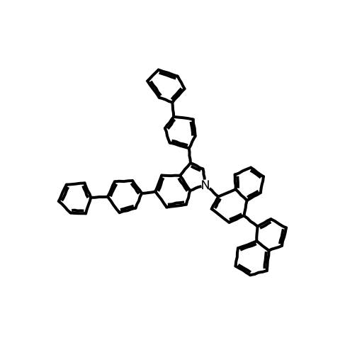 c1ccc(-c2ccc(-c3ccc4c(c3)c(-c3ccc(-c5ccccc5)cc3)cn4-c3ccc(-c4cccc5ccccc45)c4ccccc34)cc2)cc1